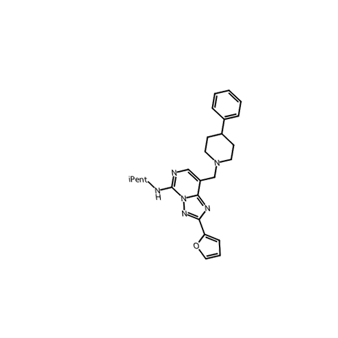 CCCC(C)Nc1ncc(CN2CCC(c3ccccc3)CC2)c2nc(-c3ccco3)nn12